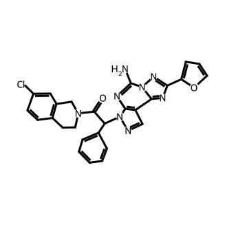 Nc1nc2c(cnn2C(C(=O)N2CCc3ccc(Cl)cc3C2)c2ccccc2)c2nc(-c3ccco3)nn12